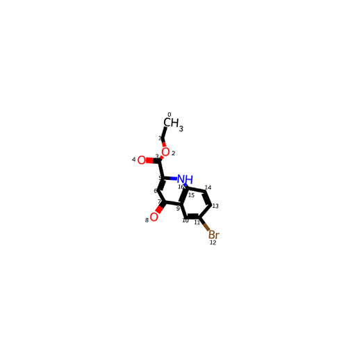 CCOC(=O)c1cc(=O)c2cc(Br)ccc2[nH]1